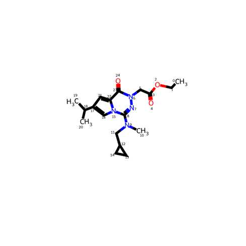 CCOC(=O)Cn1nc(N(C)CC2CC2)n2cc(C(C)C)cc2c1=O